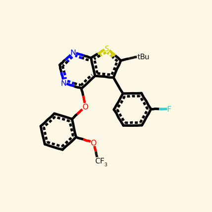 CC(C)(C)c1sc2ncnc(Oc3ccccc3OC(F)(F)F)c2c1-c1cccc(F)c1